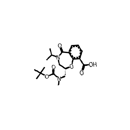 CC(C)N1C[C@@H](CN(C)C(=O)OC(C)(C)C)Oc2c(C(=O)O)cccc2C1=O